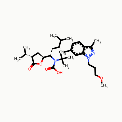 COCCCn1nc(C)c2ccc(C[C@H](C[C@@H]([C@@H]3C[C@@H](C(C)C)C(=O)O3)N(C(=O)O)C(C)(C)C)C(C)C)cc21